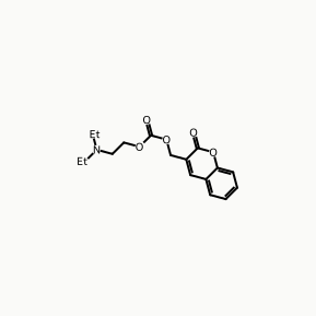 CCN(CC)CCOC(=O)OCc1cc2ccccc2oc1=O